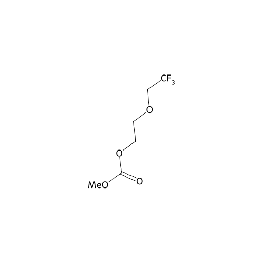 COC(=O)OCCOCC(F)(F)F